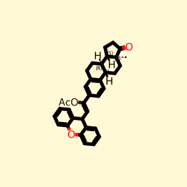 CC(=O)OC(=CC1c2ccccc2Oc2ccccc21)c1ccc2c(c1)CC[C@@H]1[C@@H]2CC[C@]2(C)C(=O)CC[C@@H]12